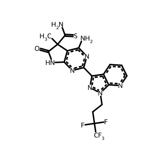 CC1(C(N)=S)C(=O)Nc2nc(-c3nn(CCC(F)(F)C(F)(F)F)c4ncccc34)nc(N)c21